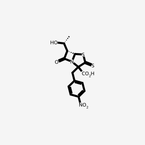 C[C@@H](O)[C@H]1C(=O)N2C1SC(=S)C2(Cc1ccc([N+](=O)[O-])cc1)C(=O)O